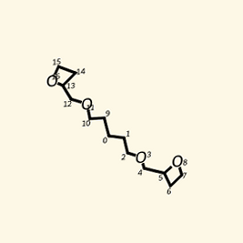 C(CCOCC1CCO1)CCOCC1CCO1